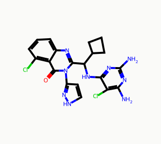 Nc1nc(N)c(Cl)c(NC(c2nc3cccc(Cl)c3c(=O)n2-c2cc[nH]n2)C2CCC2)n1